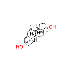 C[C@@H]1CC2=C[C@@H](O)CC[C@@H]2[C@H]2CC[C@]3(C)[C@@H](O)CC[C@H]3[C@@H]21